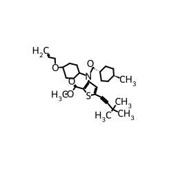 C=CCOC1CCC(N(c2cc(C#CC(C)(C)C)sc2C(=O)OC)C(=O)[C@H]2CC[C@H](C)CC2)CC1